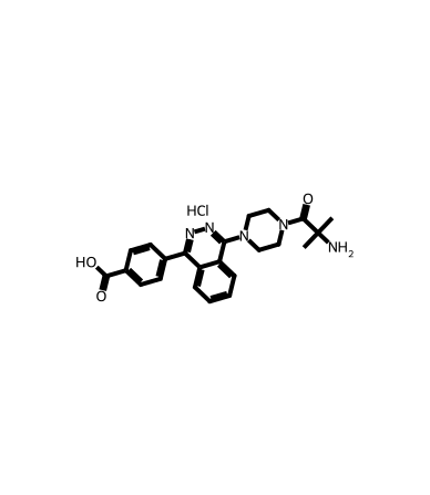 CC(C)(N)C(=O)N1CCN(c2nnc(-c3ccc(C(=O)O)cc3)c3ccccc23)CC1.Cl